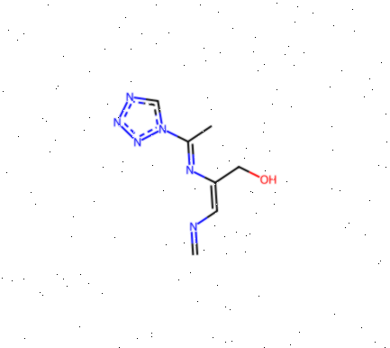 C=N/C=C(CO)\N=C(/C)n1cnnn1